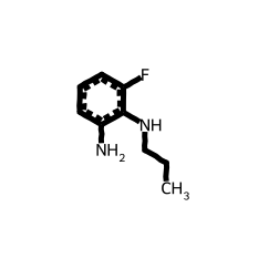 CCCNc1c(N)cccc1F